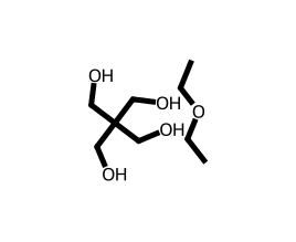 CCOCC.OCC(CO)(CO)CO